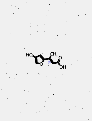 C/C(=C\C(=O)O)c1cc(O)co1